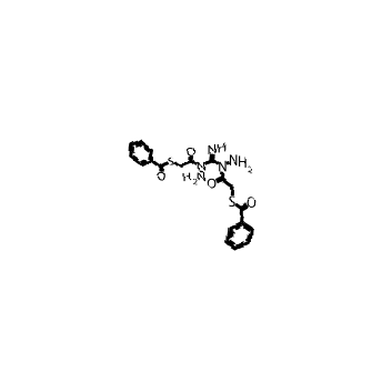 N=C(N(N)C(=O)CSC(=O)c1ccccc1)N(N)C(=O)CSC(=O)c1ccccc1